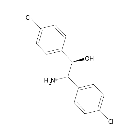 N[C@@H](c1ccc(Cl)cc1)[C@H](O)c1ccc(Cl)cc1